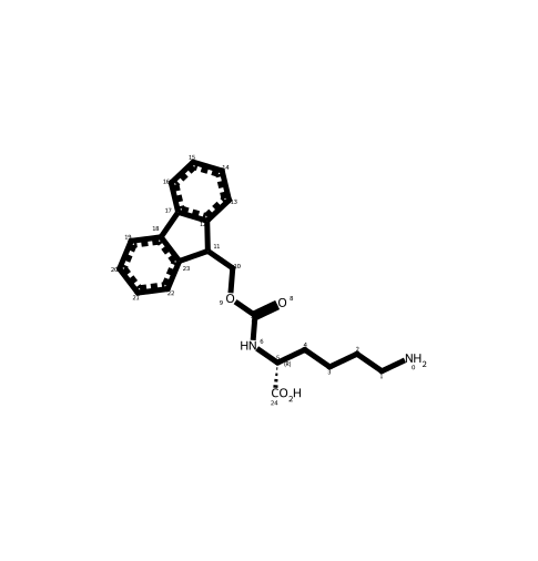 NCCCC[C@@H](NC(=O)OCC1c2ccccc2-c2ccccc21)C(=O)O